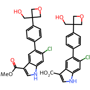 COC(=O)c1c[nH]c2cc(Cl)c(-c3ccc(C4(CO)COC4)cc3)cc12.O=C(O)c1c[nH]c2cc(Cl)c(-c3ccc(C4(CO)COC4)cc3)cc12